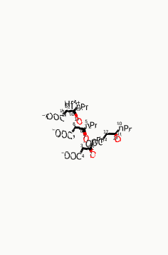 CCCC(=O)CC(=O)[O-].CCCC(=O)CC(=O)[O-].CCCC(=O)CC(=O)[O-].CCCC(=O)CC(=O)[O-].[Hf+4]